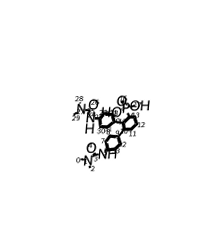 CN(C)C(=O)Nc1ccc(-c2cccc(P(=O)(O)O)c2-c2ccc(NC(=O)N(C)C)cc2)cc1